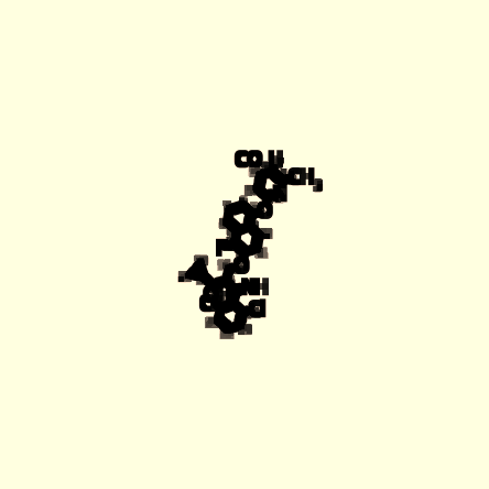 Cc1nc(Oc2cccc3c(F)c(OC/C(C(=N)c4c(Cl)cccc4Cl)=C(/O)C4CC4)ccc23)ccc1C(=O)O